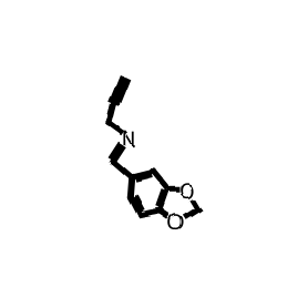 C#CCN=Cc1ccc2c(c1)OCO2